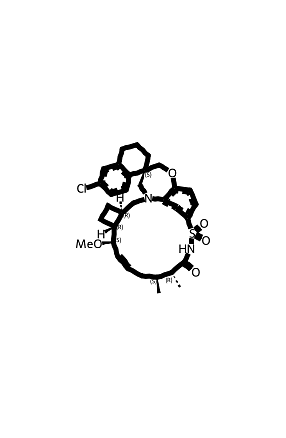 CO[C@@H]1C=CC[C@H](C)[C@@H](C)C(=O)NS(=O)(=O)c2ccc3c(c2)N(C[C@@H]2CC[C@H]21)C[C@@]1(CCCc2cc(Cl)ccc21)CO3